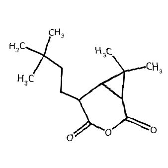 CC(C)(C)CCC1C(=O)OC(=O)C2C1C2(C)C